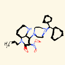 C=CCN1C(=O)C([N+](=O)[O-])=C(N2CCN(C(c3ccccc3)c3ccccc3)CC2)C2NC=CC=C21